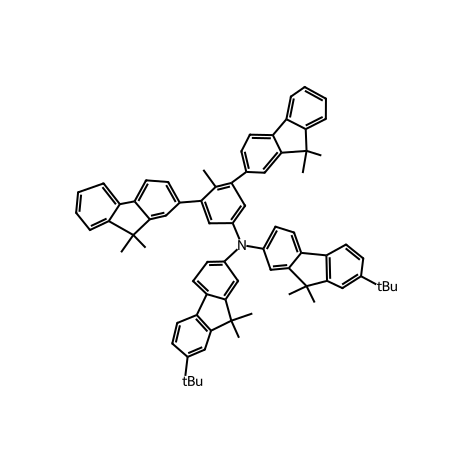 Cc1c(-c2ccc3c(c2)C(C)(C)c2ccccc2-3)cc(N(c2ccc3c(c2)C(C)(C)c2cc(C(C)(C)C)ccc2-3)c2ccc3c(c2)C(C)(C)c2cc(C(C)(C)C)ccc2-3)cc1-c1ccc2c(c1)C(C)(C)c1ccccc1-2